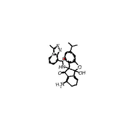 Cc1nnc2c(C(=O)NC34C(=O)C5=C(N)CCC=C5C3(O)Oc3cc(C(C)C)ccc34)cccn12